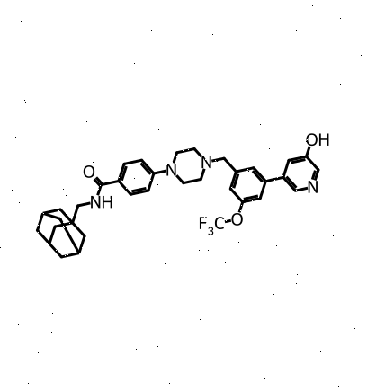 O=C(NCC12CC3CC(CC(C3)C1)C2)c1ccc(N2CCN(Cc3cc(OC(F)(F)F)cc(-c4cncc(O)c4)c3)CC2)cc1